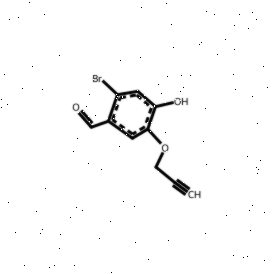 C#CCOc1cc(C=O)c(Br)cc1O